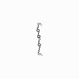 CCCCCCCC1CCC(/C=C/COc2ccc(CCC3CCC(CCCCC)CC3)cc2)CC1